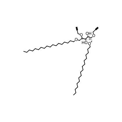 C#CCO[C@H](COCCCCCCCCCCCCCCCCCC)[C@@H](O)[C@H](O)[C@@H](COCCCCCCCCCCCCCCCCCC)OCC#C